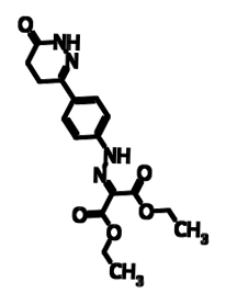 CCOC(=O)C(=NNc1ccc(C2=NNC(=O)CC2)cc1)C(=O)OCC